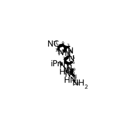 CC(C)Nc1cc(-n2ncc3cc(C#N)cnc32)ncc1-n1cc(CNN)nn1